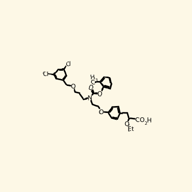 CCOC(Cc1ccc(OCCN(CCCOCc2cc(Cl)cc(Cl)c2)C(=O)Oc2ccccc2C)cc1)C(=O)O